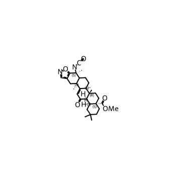 COC(=O)[C@]12CCC(C)(C)C[C@H]1[C@H]1C(=O)C=C3[C@@]4(C)Cc5cnoc5[C@@](C)(N=C=O)C4CC[C@@]3(C)[C@]1(C)CC2